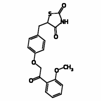 COc1ccccc1C(=O)COc1ccc(CC2SC(=O)NC2=O)cc1